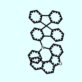 c1ccc(N(c2cccc3c2-c2ccccc2C32c3ccccc3-c3ccccc32)c2cccc3oc4ccc5ccccc5c4c23)cc1